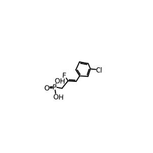 O=P(O)(O)CC(F)=Cc1cccc(Cl)c1